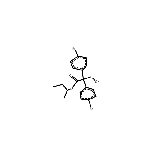 CCC(C)OC(=O)C(OO)(c1ccc(Br)cc1)c1ccc(Br)cc1